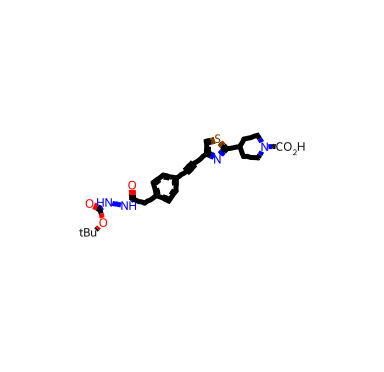 CC(C)(C)OC(=O)NNC(=O)Cc1ccc(C#Cc2csc(C3CCN(C(=O)O)CC3)n2)cc1